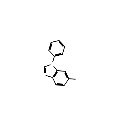 O=[N+]([O-])c1ccc2ncn(-c3ccccc3)c2c1